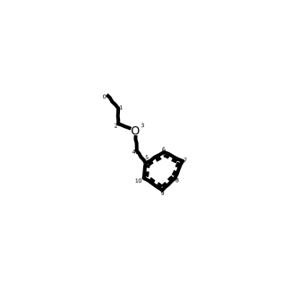 CCCO[CH]c1ccccc1